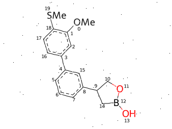 COc1cc(-c2cccc(C3COB(O)C3)c2)ccc1SC